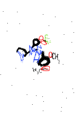 COc1ccc(CNc2nc3c4c(ccc3c3nc(C5CCCNC5)nn23)OC(F)(F)O4)c(OC)c1